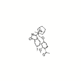 COc1cc(OCC(C)N2C3CCC2CC(c2noc4cc(F)ccc24)C3)ccc1C(C)=O